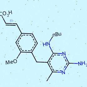 CCCCNc1nc(N)nc(C)c1Cc1ccc(/C=C/C(=O)O)cc1OC